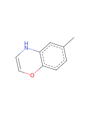 Cc1ccc2c(c1)NC=CO2